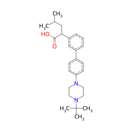 CC(C)CC(C(=O)O)c1cccc(-c2ccc(N3CCN(C(C)(C)C)CC3)cc2)c1